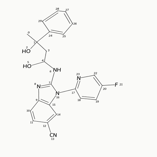 CC(O)(CC(O)Nc1nc2ccc(C#N)cc2n1-c1ccc(F)cn1)c1ccccc1